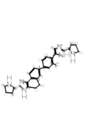 Fc1cc(-c2ccc3c(c2)CCc2[nH]c([C@@H]4CCCN4)nc2-3)ccc1-c1cnc([C@@H]2CCCN2)[nH]1